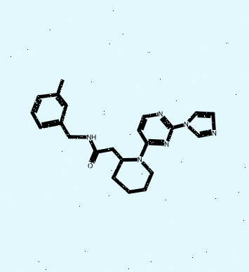 Cc1cccc(CNC(=O)CC2CCCCN2c2ccnc(-n3ccnc3)n2)c1